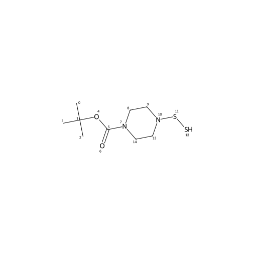 CC(C)(C)OC(=O)N1CCN(SS)CC1